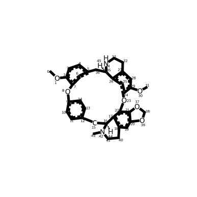 COc1ccc2cc1Oc1ccc(cc1)C[C@H]1c3c(cc4c(c3Oc3cc5c(cc3OC)CCN[C@@H]5C2)OCO4)CCN1C